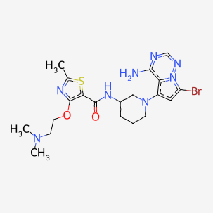 Cc1nc(OCCN(C)C)c(C(=O)NC2CCCN(c3cc(Br)n4ncnc(N)c34)C2)s1